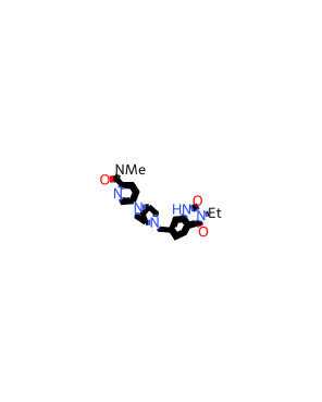 CCn1c(=O)[nH]c2cc(CN3CC4CC3CN4c3ccc(C(=O)NC)nc3)ccc2c1=O